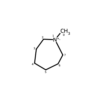 C[N+]1CCCCCC1